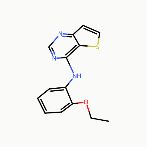 CCOc1ccccc1Nc1ncnc2ccsc12